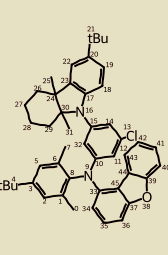 Cc1cc(C(C)(C)C)cc(C)c1N(c1cc(Cl)cc(N2c3ccc(C(C)(C)C)cc3C3(C)CCCCC23C)c1)c1cccc2oc3ccccc3c12